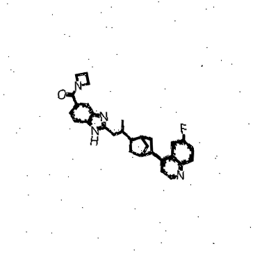 CC(Cc1nc2cc(C(=O)N3CCC3)ccc2[nH]1)C1CC2CC1CC2c1ccnc2ccc(F)cc12